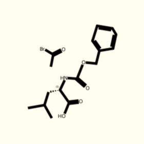 CC(=O)Br.CC(C)C[C@H](NC(=O)OCc1ccccc1)C(=O)O